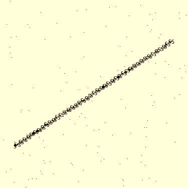 S=S=S=S=S=S=S=S=S=S=S=S=S=S=S=S=S=S=S=S=S=S=S=S=S=S=S=S=S=S=S=S=S=S=S=S=S=S=S=S=S=S=S=S=S=S=S=S=S=S=S=S=S=S=S=S=S=S=S=S=S=S=S=S=S=S=S=S=S=S=S=S=S=S=S=S=S=S=S=S=S=S=S=S=S=S=S